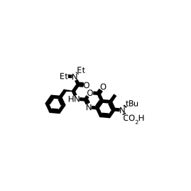 CCN(CC)C(=O)[C@H](Cc1ccccc1)Nc1nc2ccc(N(C(=O)O)C(C)(C)C)c(C)c2c(=O)o1